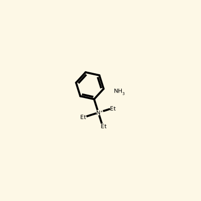 CC[N+](CC)(CC)c1ccccc1.N